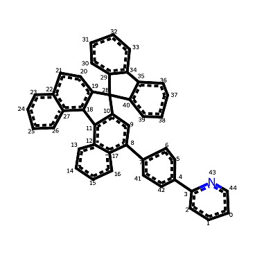 c1ccc(-c2ccc(-c3cc4c(c5ccccc35)-c3c(ccc5ccccc35)C43c4ccccc4-c4ccccc43)cc2)nc1